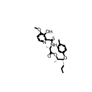 CCC[C@@H](Oc1ccc(C)cc1)[C@H](C)OC(=O)[C@H](C)NC(=S)c1nccc(OC)c1O